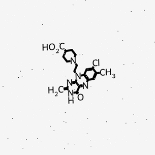 C=c1nc2c(c(=O)[nH]1)=Nc1cc(C)c(Cl)cc1N2CCN1CCC(C(=O)O)CC1